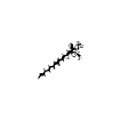 CCCCCCCCCCCCCCC(OCC)C(=O)OCC